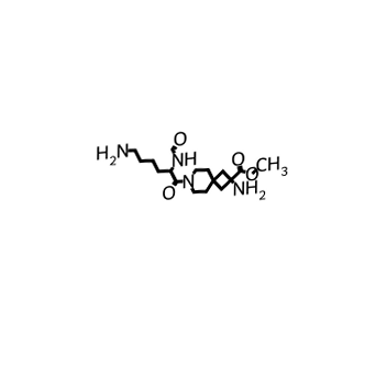 COC(=O)C1(N)CC2(CCN(C(=O)C(CCCCN)NC=O)CC2)C1